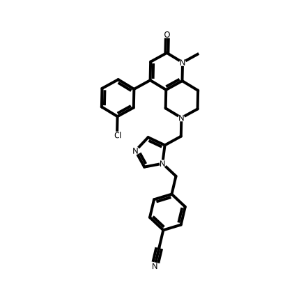 Cn1c2c(c(-c3cccc(Cl)c3)cc1=O)CN(Cc1cncn1Cc1ccc(C#N)cc1)CC2